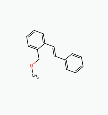 COCc1ccccc1/C=C/c1ccccc1